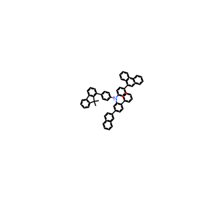 CC1(C)c2ccccc2-c2cccc(-c3ccc(N(c4ccc(-c5cc6ccccc6c6ccccc56)cc4)c4cc(-c5ccc6ccccc6c5)ccc4-c4ccccc4)cc3)c21